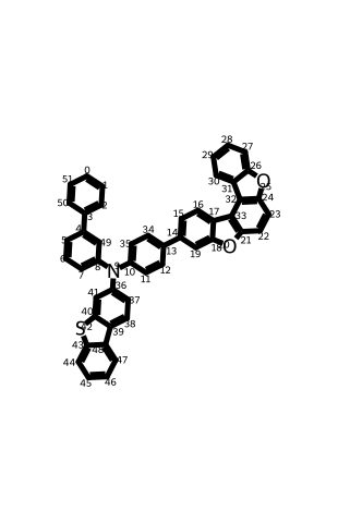 c1ccc(-c2cccc(N(c3ccc(-c4ccc5c(c4)oc4ccc6oc7ccccc7c6c45)cc3)c3ccc4c(c3)sc3ccccc34)c2)cc1